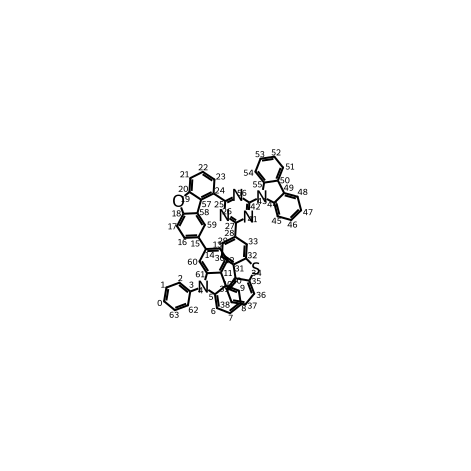 c1ccc(-n2c3ccccc3c3ccc(-c4ccc5oc6cccc(-c7nc(-c8ccc9c(c8)sc8ccccc89)nc(-n8c9ccccc9c9ccccc98)n7)c6c5c4)cc32)cc1